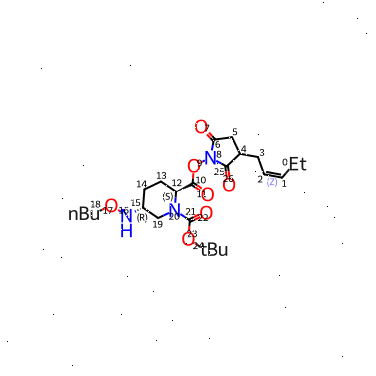 CC/C=C\CC1CC(=O)N(OC(=O)[C@@H]2CC[C@@H](NOCCCC)CN2C(=O)OC(C)(C)C)C1=O